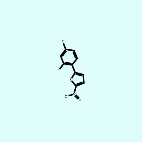 O=[N+]([O-])c1ccc(-c2ccc(F)cc2F)s1